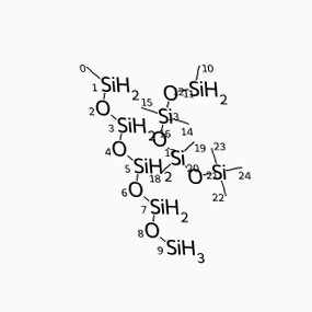 C[SiH2]O[SiH2]O[SiH2]O[SiH2]O[SiH3].C[SiH2]O[Si](C)(C)O[Si](C)(C)O[Si](C)(C)C